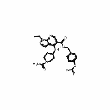 CCn1ncc2c(NC3CCN(C(N)=O)CC3)c(C(=O)NCc3ccc(OC(F)F)cc3)cnc21